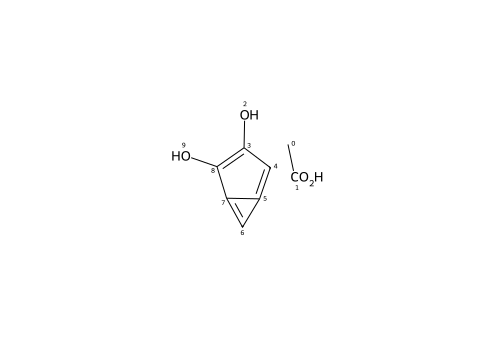 CC(=O)O.Oc1cc2cc-2c1O